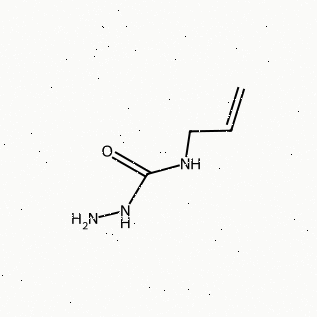 C=CCNC(=O)NN